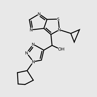 OC(c1cn(C2CCCC2)nn1)c1c2ncnc-2sn1C1CC1